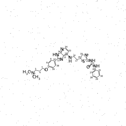 CN(C)CCCOc1ccc(-c2nc3c(NCCC4CN=C(NC(=O)Nc5ccccc5)S4)ccnc3[nH]2)cc1